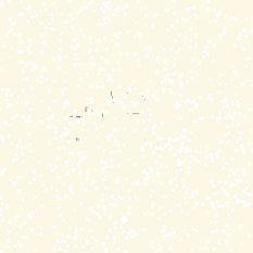 C[C@@H]1CN(c2ccc3ncc(C(=O)Nc4cccnc4)n3n2)C[C@H](C)O1